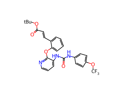 CC(C)(C)OC(=O)/C=C/c1ccccc1Oc1ncccc1NC(=O)Nc1ccc(OC(F)(F)F)cc1